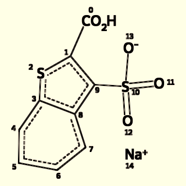 O=C(O)c1sc2ccccc2c1S(=O)(=O)[O-].[Na+]